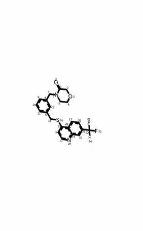 O=C1COCCN1Cc1cccc(CSc2ccnc3cc(C(F)(F)F)ccc23)c1